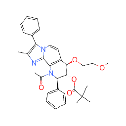 COCCO[C@@H]1c2ccn3c(-c4ccccc4)c(C)nc3c2N(C(C)=O)[C@H](c2ccccc2)[C@H]1OC(=O)C(C)(C)C